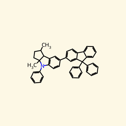 CC1CCC2(C)C1c1cc(-c3ccc4c(c3)C(c3ccccc3)(c3ccccc3)c3ccccc3-4)ccc1N2c1ccccc1